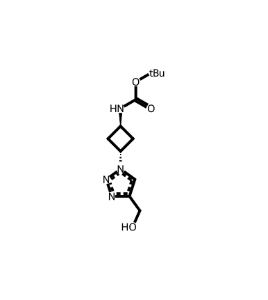 CC(C)(C)OC(=O)N[C@H]1C[C@H](n2cc(CO)nn2)C1